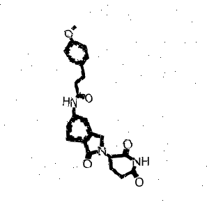 COc1ccc(CCC(=O)Nc2ccc3c(c2)CN(C2CCC(=O)NC2=O)C3=O)cc1